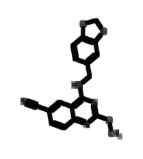 COc1nc(NCc2ccc3c(c2)OCO3)c2cc(C#N)ccc2n1